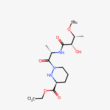 C[C@H](NC(=O)[C@@H](O)[C@@H](C)OC(C)(C)C)C(=O)N1CCC[C@@H](C(=O)OCC(Cl)(Cl)Cl)N1